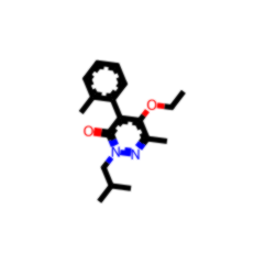 CCOc1c(C)nn(CC(C)C)c(=O)c1-c1ccccc1C